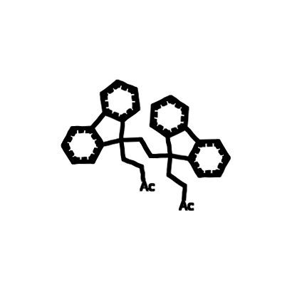 CC(=O)CCC1(CCC2(CCC(C)=O)c3ccccc3-c3ccccc32)c2ccccc2-c2ccccc21